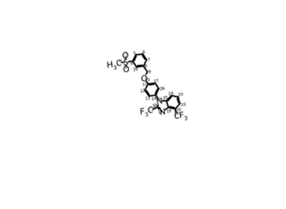 CS(=O)(=O)c1cccc(COc2ccc(-n3c(C(F)(F)F)nc4c(C(F)(F)F)cccc43)cc2)c1